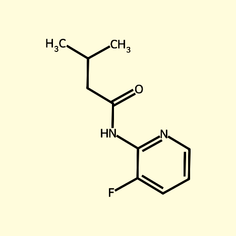 CC(C)CC(=O)Nc1ncccc1F